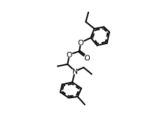 CCc1ccccc1OC(=O)OC(C)N(CC)c1cccc(C)c1